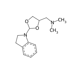 CN(C)CC1COC(N2CCc3ccccc32)O1